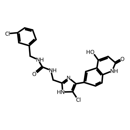 O=C(NCc1cccc(Cl)c1)NCc1nc(-c2ccc3[nH]c(=O)cc(O)c3c2)c(Cl)[nH]1